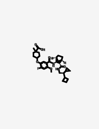 COc1cc(F)c(OC2CCC(C)(C(=O)O)CC2)cc1C(=O)N[C@@H]1[C@H]2CC[C@H](C2)[C@@H]1C(=O)NC[C@H](C1CCC1)C1CC1